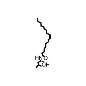 CCCCCCCC/C=C\CCCCCCCC(=O)N[C@@H](CO)CC(C)C